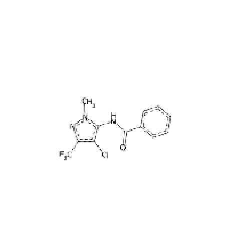 Cn1nc(C(F)(F)F)c(Cl)c1NC(=O)c1ccccc1